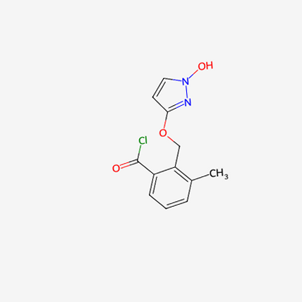 Cc1cccc(C(=O)Cl)c1COc1ccn(O)n1